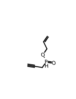 C#CC[PH](=O)OCC=C